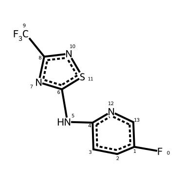 Fc1ccc(Nc2nc(C(F)(F)F)ns2)nc1